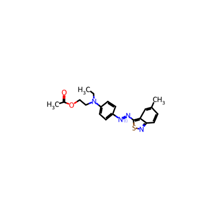 CCN(CCOC(C)=O)c1ccc(/N=N/c2snc3ccc(C)cc23)cc1